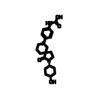 O=C(O)Nc1ccc(N2CCCC3(CCN([C@H]4CC[C@H](O)CC4)C3=O)C2)cc1